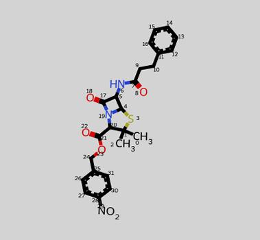 CC1(C)SC2C(NC(=O)CCc3ccccc3)C(=O)N2C1C(=O)OCc1ccc([N+](=O)[O-])cc1